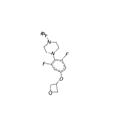 CC(C)N1CCN(c2c(F)cc(OC3COC3)cc2F)CC1